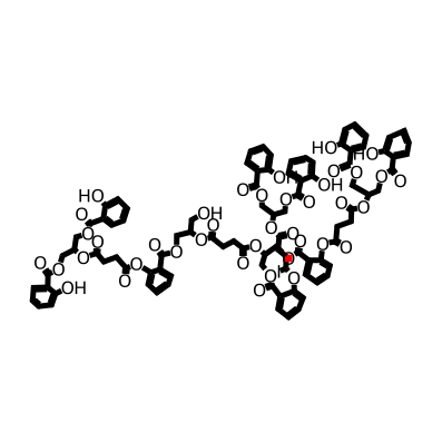 O=C(CCC(=O)OC(COC(=O)c1ccccc1O)COC(=O)c1ccccc1O)Oc1ccccc1C(=O)OCC(CO)OC(=O)CCC(=O)OC(COC(=O)c1ccccc1OC(=O)CCC(=O)OC(COC(=O)c1ccccc1O)COC(=O)c1ccccc1O)COC(=O)c1ccccc1OC(I)CCC(=O)OC(COC(=O)c1ccccc1O)COC(=O)c1ccccc1O